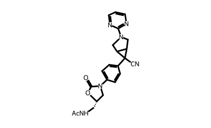 CC(=O)NC[C@H]1CN(c2ccc(C3(C#N)C4CN(c5ncccn5)CC43)cc2)C(=O)O1